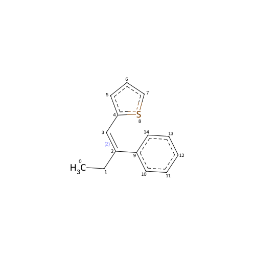 CC/C(=C/c1cccs1)c1ccccc1